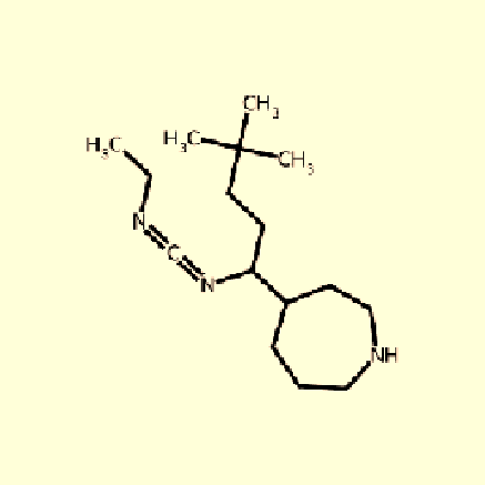 CCN=C=NC(CCC(C)(C)C)C1CCCNCC1